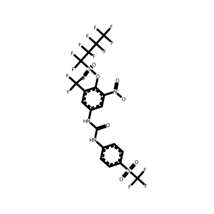 O=C(Nc1ccc(S(=O)(=O)C(F)(F)F)cc1)Nc1cc([N+](=O)[O-])c(OS(=O)(=O)C(F)(F)C(F)(F)C(F)(F)C(F)(F)F)c(C(F)(F)F)c1